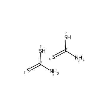 NC(=S)S.NC(=S)S